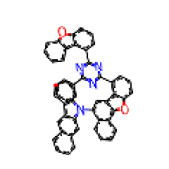 C1=Cc2c(n(-c3cc4c(oc5cccc(-c6nc(-c7ccccc7)nc(-c7cccc8oc9ccccc9c78)n6)c54)c4ccccc34)c3cc4ccccc4cc23)CC1